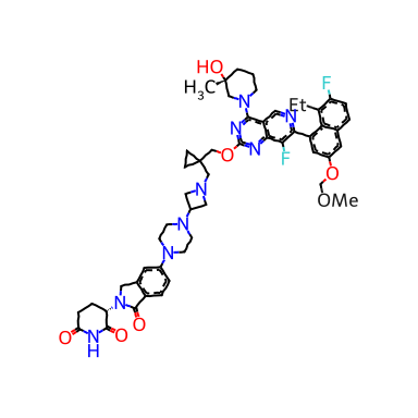 CCc1c(F)ccc2cc(OCOC)cc(-c3ncc4c(N5CCC[C@@](C)(O)C5)nc(OCC5(CN6CC(N7CCN(c8ccc9c(c8)CN([C@H]8CCC(=O)NC8=O)C9=O)CC7)C6)CC5)nc4c3F)c12